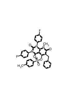 Cc1ccc(S(=O)(=O)Oc2c(Cc3ccccc3)c(=O)n(C)c3c2c(=O)n(-c2ccc(F)cc2)c(=O)n3-c2ccc(F)cc2)cc1